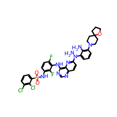 Nc1c(N2CCC3(CCCO3)CC2)cccc1N(N)c1ccc2ncnc(Nc3c(F)ccc(NS(=O)(=O)c4cccc(Cl)c4Cl)c3F)c2n1